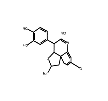 CC1CC23CC=C(Cl)C=C2N=CC(c2ccc(O)c(O)c2)C3S1.Cl